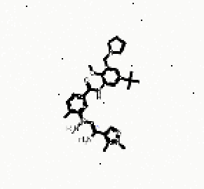 COc1c(CN2CCCC2)cc(C(C)(C)C)cc1NC(=O)c1ccc(C)c(N(N)/C=C(\N)c2cnn(C)c2C)c1